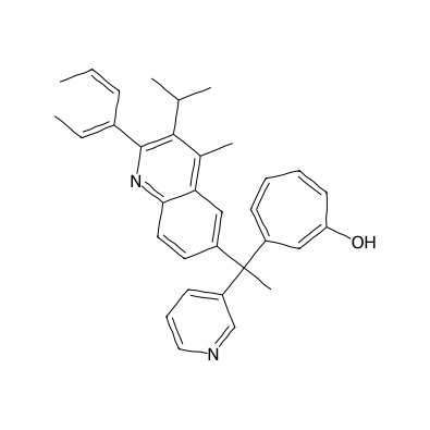 C/C=C\C(=C/C)c1nc2ccc(C(C)(C3=C=CC=CC(O)=C3)c3cccnc3)cc2c(C)c1C(C)C